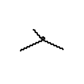 CCCCCCCCCCCCCCCc1n(CCCCCCCCCCCCC)cc[n+]1CCCCCCC